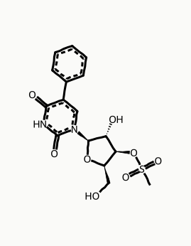 CS(=O)(=O)O[C@@H]1[C@@H](O)[C@H](n2cc(-c3ccccc3)c(=O)[nH]c2=O)O[C@@H]1CO